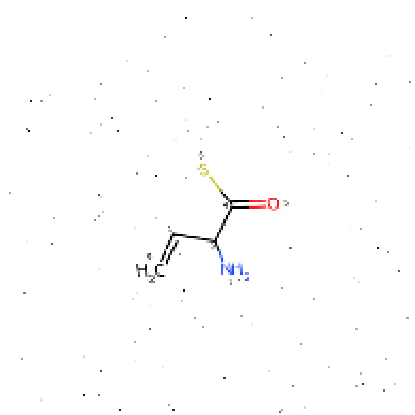 C=CC(N)C(=O)[S]